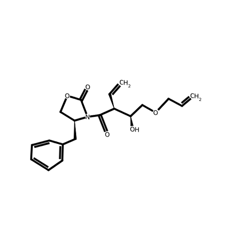 C=CCOC[C@@H](O)[C@H](C=C)C(=O)N1C(=O)OC[C@@H]1Cc1ccccc1